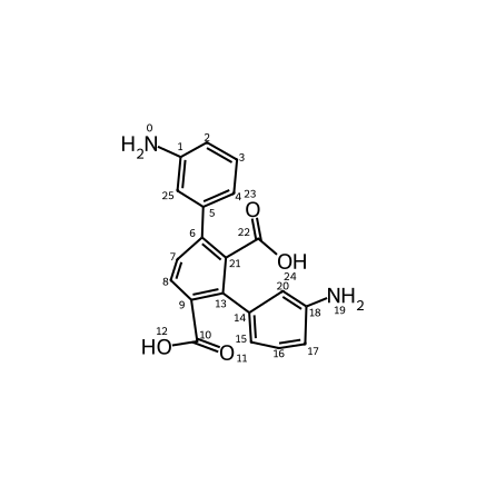 Nc1cccc(-c2ccc(C(=O)O)c(-c3cccc(N)c3)c2C(=O)O)c1